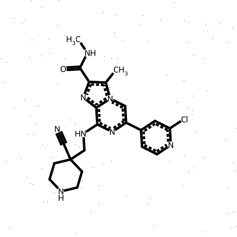 CNC(=O)c1nc2c(NCC3(C#N)CCNCC3)nc(-c3ccnc(Cl)c3)cn2c1C